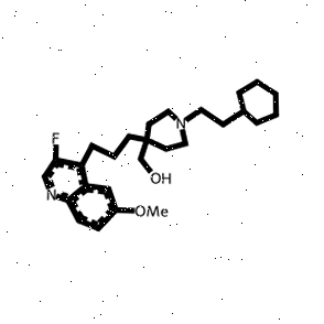 COc1ccc2ncc(F)c(CCCC3(CO)CCN(CCC4CCCCC4)CC3)c2c1